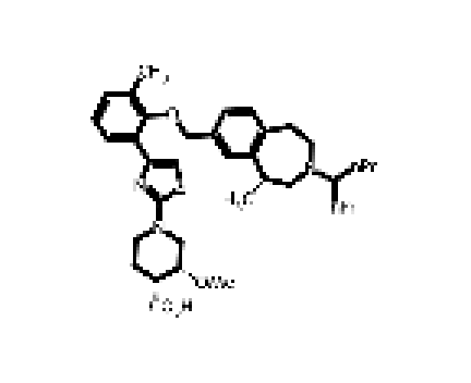 CCCC(CCC)N1CCc2ccc(COc3c(C)cccc3-c3csc(N4CC[C@@H](C(=O)O)[C@@H](OC)C4)n3)cc2[C@@H](C)C1